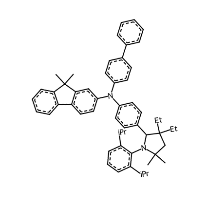 CCC1(CC)CC(C)(C)N(c2c(C(C)C)cccc2C(C)C)C1c1ccc(N(c2ccc(-c3ccccc3)cc2)c2ccc3c(c2)C(C)(C)c2ccccc2-3)cc1